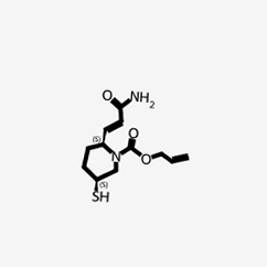 C=CCOC(=O)N1C[C@@H](S)CC[C@H]1C=CC(N)=O